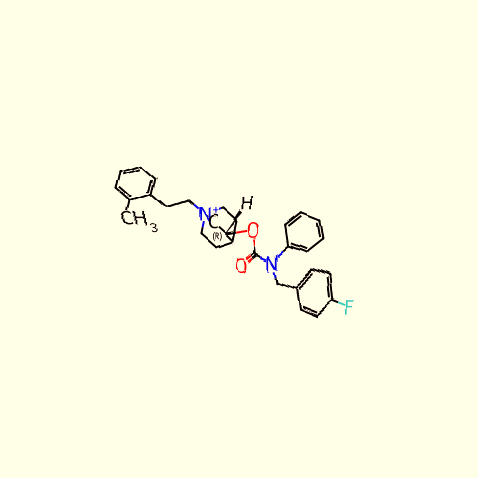 Cc1ccccc1CC[N+]12CCC(CC1)[C@@H](OC(=O)N(Cc1ccc(F)cc1)c1ccccc1)C2